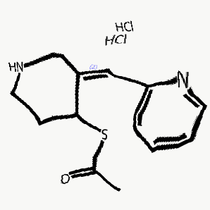 CC(=O)SC1CCNC/C1=C/c1ccccn1.Cl.Cl